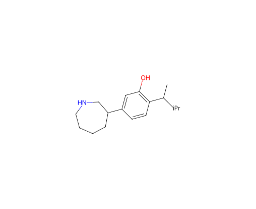 CC(C)C(C)c1ccc(C2CCCCNC2)cc1O